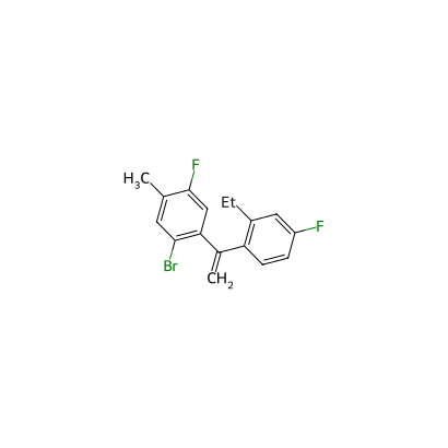 C=C(c1cc(F)c(C)cc1Br)c1ccc(F)cc1CC